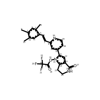 Cc1cc(C)c(C=Cc2cc(-c3cc4c(n3OC(=O)C(F)(F)F)CCNC4=O)ccn2)cc1C